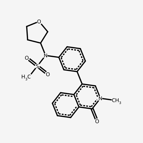 Cn1cc(-c2cccc(N(C3CCOC3)S(C)(=O)=O)c2)c2ccccc2c1=O